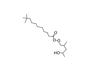 CC(O)CC(C)COOC(=O)CCCCCCCCC(C)(C)C